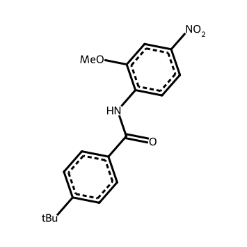 COc1cc([N+](=O)[O-])ccc1NC(=O)c1ccc(C(C)(C)C)cc1